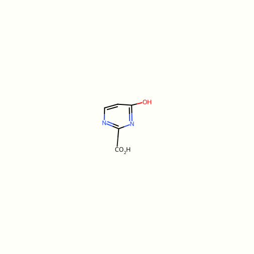 O=C(O)c1nccc(O)n1